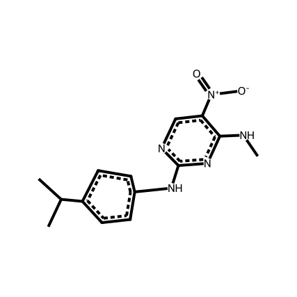 CNc1nc(Nc2ccc(C(C)C)cc2)ncc1[N+](=O)[O-]